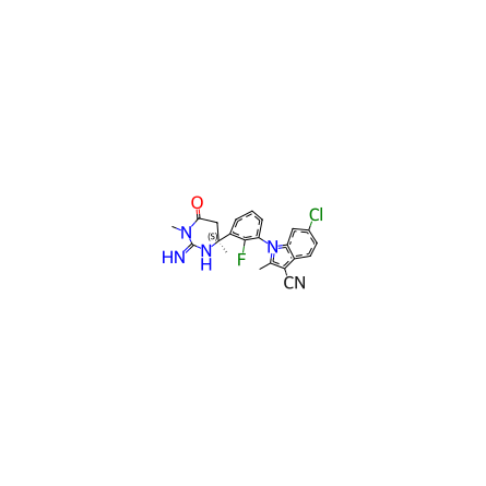 Cc1c(C#N)c2ccc(Cl)cc2n1-c1cccc([C@]2(C)CC(=O)N(C)C(=N)N2)c1F